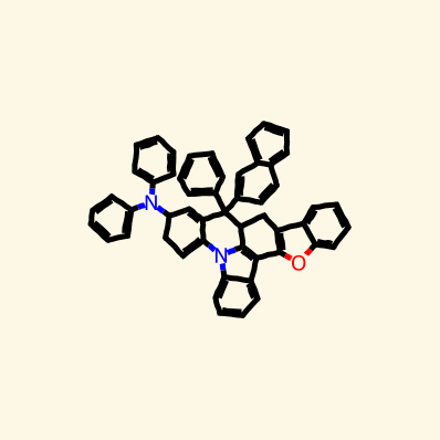 C1=C2C(=CC(N(c3ccccc3)c3ccccc3)C1)C(c1ccccc1)(c1ccc3ccccc3c1)C1Cc3c(oc4ccccc34)-c3c1n2c1ccccc31